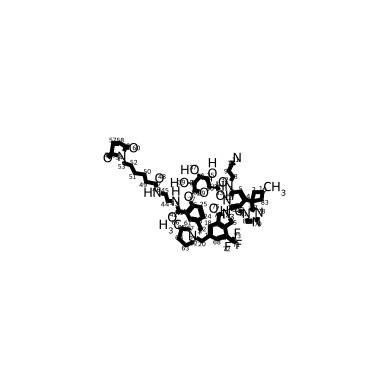 CC1CC(c2cc(NCCC#N)nc(N3Cc4c(cc(C[N+]5(Cc6ccc(O[C@@H]7O[C@H](C(=O)O)[C@@H](O)[C@H](O)[C@H]7O)c(C(=O)NCCNC(=O)CCCCCN7C(=O)C=CC7=O)c6)CCC[C@H](C)C5)cc4C(F)(F)F)C3=O)c2)(c2nncn2C)C1